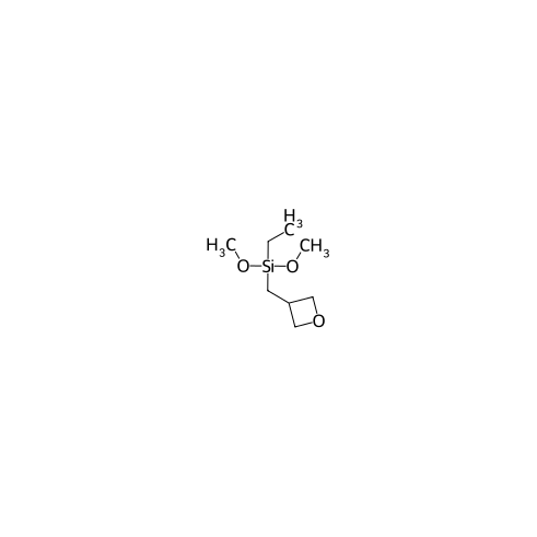 CC[Si](CC1COC1)(OC)OC